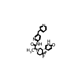 CC(C(=O)Nc1ccc(Cc2cccnc2)cn1)N1CCC(F)(F)[C@@H](c2ccc(=O)[nH]c2)C1